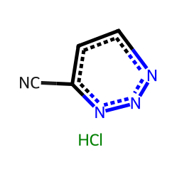 Cl.N#Cc1ccnnn1